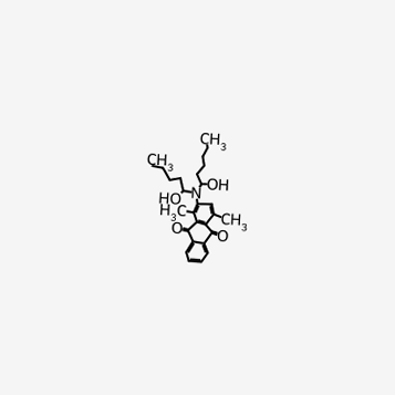 CCCCCC(O)N(c1cc(C)c2c(c1C)C(=O)c1ccccc1C2=O)C(O)CCCCC